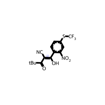 CC(C)(C)C(=O)/C(C#N)=C(\O)c1ccc(SC(F)(F)F)cc1[N+](=O)[O-]